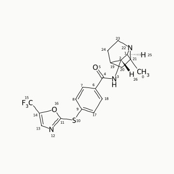 C[C@H]1[C@H](NC(=O)c2ccc(Sc3ncc(C(F)(F)F)o3)cc2)C2CCN1CC2